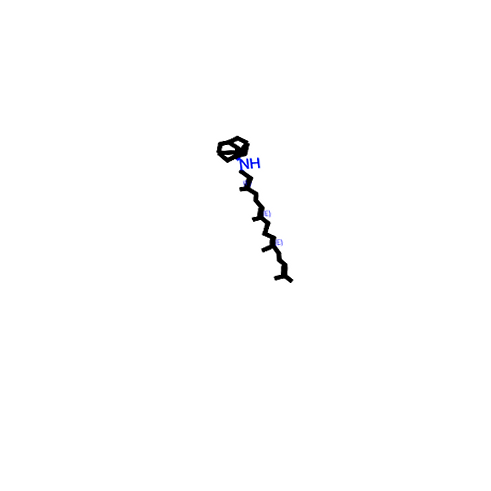 CC(C)=CCC/C(C)=C/CC/C(C)=C/CC/C(C)=C/CNC12CC3CC(CC(C3)C1)C2